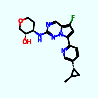 C[C@@H]1C[C@H]1c1ccc(-c2cc(F)c3cnc(N[C@@H]4CCOC[C@H]4O)nn23)nc1